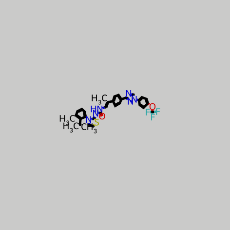 C/C(=C\NC(=O)/N=C1\SCCN1c1cccc(C)c1C(C)C)c1ccc(-c2ncn(-c3ccc(OC(F)(F)F)cc3)n2)cc1